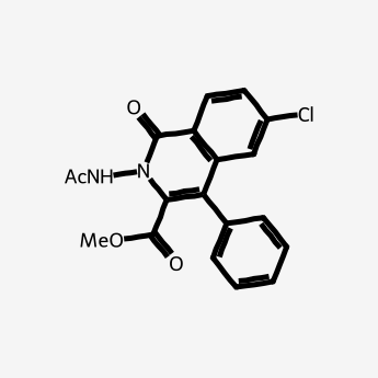 COC(=O)c1c(-c2ccccc2)c2cc(Cl)ccc2c(=O)n1NC(C)=O